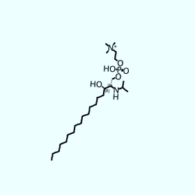 CCCCCCCCCCCCCCC[C@@H](O)[C@H](COP(=O)(O)OCC[N+](C)(C)C)NC(C)C